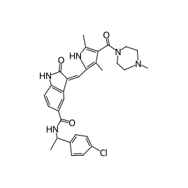 Cc1[nH]c(/C=C2\C(=O)Nc3ccc(C(=O)NC(C)c4ccc(Cl)cc4)cc32)c(C)c1C(=O)N1CCN(C)CC1